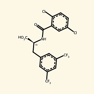 O=C(N[C@@H](Cc1cc(C(F)(F)F)cc(C(F)(F)F)c1)C(=O)O)c1cc(Cl)ccc1Cl